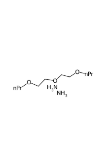 CCCOCCOCCOCCC.N.N